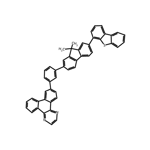 CC1(C)c2cc(-c3cccc(-c4ccc5c(c4)c4ccccc4c4nccnc54)c3)ccc2-c2ccc(-c3cccc4c3sc3ccccc34)cc21